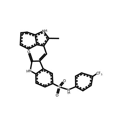 Cc1[nH]c2ccccc2c1C=C1C(=O)Nc2ccc(S(=O)(=O)Nc3ccc(C(F)(F)F)cc3)cc21